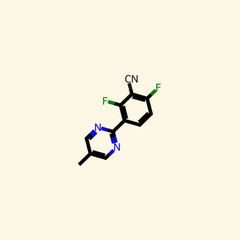 Cc1cnc(-c2ccc(F)c(C#N)c2F)nc1